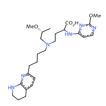 COc1nccc(NC(CCN(CCCCc2ccc3c(n2)NCCC3)C[C@@H](C)OC)C(=O)O)n1